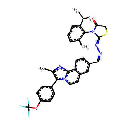 Cc1cccc(C(C)C)c1N1C(=O)CS/C1=N\N=C/c1ccc2c(ccn3c(-c4ccc(OC(F)(F)F)cc4)c(C)nc23)c1